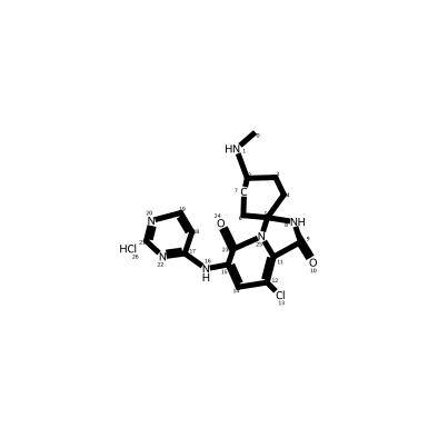 CNC1CCC2(CC1)NC(=O)c1c(Cl)cc(Nc3ccncn3)c(=O)n12.Cl